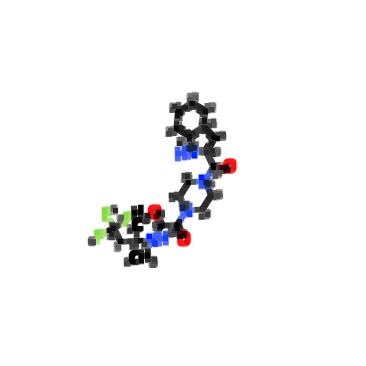 CC(C)(CC(F)(F)F)NC(=O)C(=O)N1CCN(C(=O)c2cc3ccccc3[nH]2)CC1